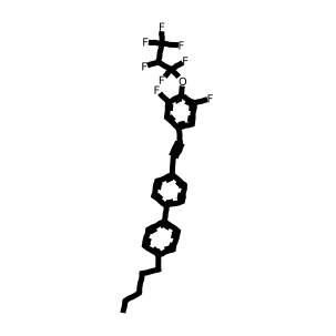 CCCCCc1ccc(-c2ccc(C#Cc3cc(F)c(OC(F)(F)C(F)C(F)(F)F)c(F)c3)cc2)cc1